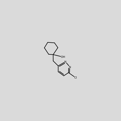 OC1(Cc2ccc(Cl)nn2)CCCCC1